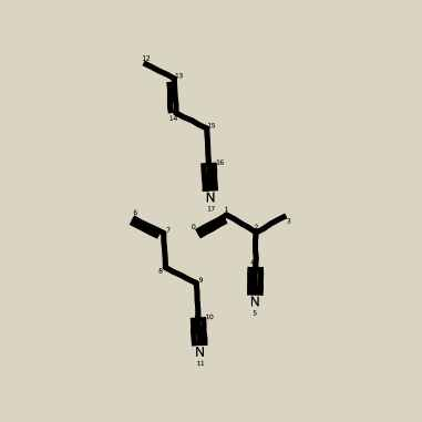 C=CC(C)C#N.C=CCCC#N.CC=CCC#N